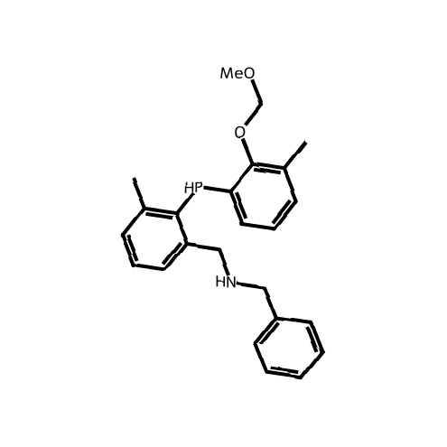 COCOc1c(C)cccc1Pc1c(C)cccc1CNCc1ccccc1